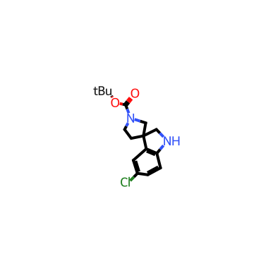 CC(C)(C)OC(=O)N1CCC2(CNc3ccc(Cl)cc32)C1